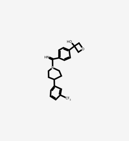 N=C(c1ccc(C2(O)COC2)cc1)N1CCC(c2cccc(C(F)(F)F)c2)CC1